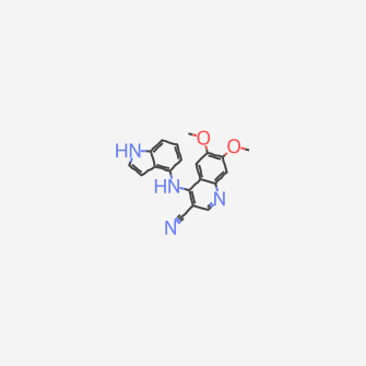 COc1cc2ncc(C#N)c(Nc3cccc4[nH]ccc34)c2cc1OC